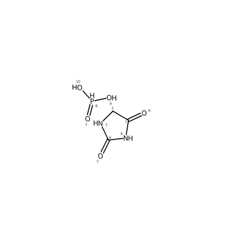 O=C1CNC(=O)N1.O=[PH](O)O